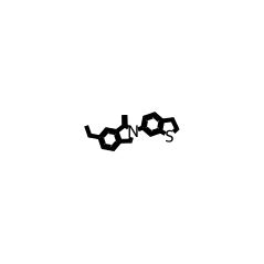 C=C1c2cc(CC)ccc2CN1c1ccc2c(c1)SCC2